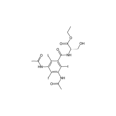 CCOC(=O)[C@H](CO)NC(=O)c1c(I)c(NC(C)=O)c(I)c(NC(C)=O)c1I